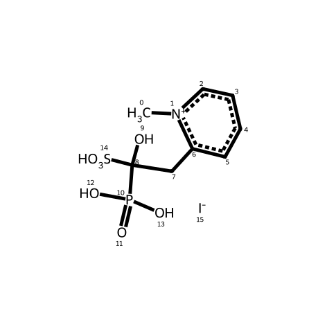 C[n+]1ccccc1CC(O)(P(=O)(O)O)S(=O)(=O)O.[I-]